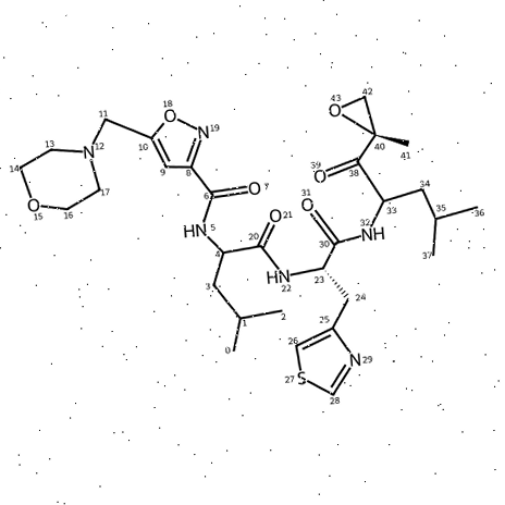 CC(C)CC(NC(=O)c1cc(CN2CCOCC2)on1)C(=O)N[C@@H](Cc1cscn1)C(=O)NC(CC(C)C)C(=O)[C@@]1(C)CO1